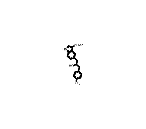 CC(=O)Nc1c[nH]c2ccc(CC(O)Cc3ccc(C(F)(F)F)cc3)cc12